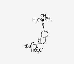 CC(C)(C)OC(=O)N[C@@H](CC(=O)O)Cc1ccc(C#C[Si](C)(C)C)cc1